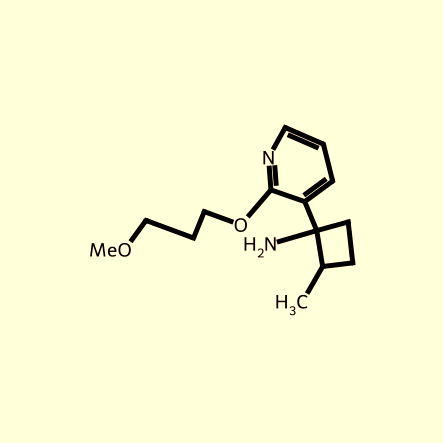 COCCCOc1ncccc1C1(N)CCC1C